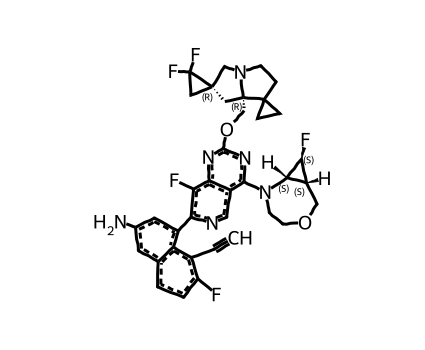 C#Cc1c(F)ccc2cc(N)cc(-c3ncc4c(N5CCOC[C@H]6[C@H](F)[C@H]65)nc(OC[C@]56C[C@]7(CN5CCC65CC5)CC7(F)F)nc4c3F)c12